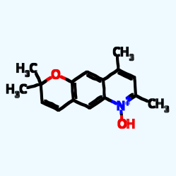 Cc1cc(C)[n+](O)c2cc3c(cc12)OC(C)(C)C=C3